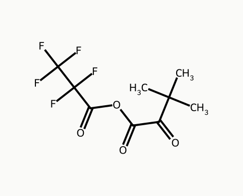 CC(C)(C)C(=O)C(=O)OC(=O)C(F)(F)C(F)(F)F